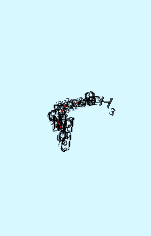 CCn1cc(-c2ccc(Cl)cc2Cl)nc1C=Cc1cc(-c2ccc(OCc3ccc(C(=O)OC)cc3)cc2)ccc1F